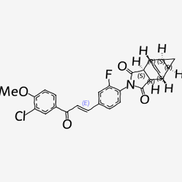 COc1ccc(C(=O)/C=C/c2ccc(N3C(=O)[C@@H]4[C@@H]5C=C[C@@H]([C@H]6C[C@@H]56)[C@@H]4C3=O)c(F)c2)cc1Cl